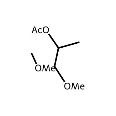 COC.COCC(C)OC(C)=O